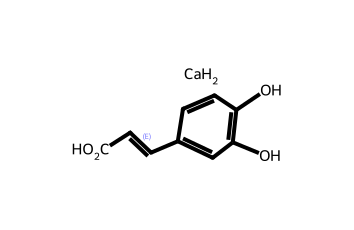 O=C(O)/C=C/c1ccc(O)c(O)c1.[CaH2]